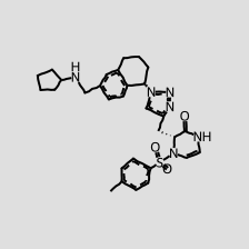 Cc1ccc(S(=O)(=O)N2C=CNC(=O)[C@H]2Cc2cn([C@@H]3CCCc4cc(CNC5CCCC5)ccc43)nn2)cc1